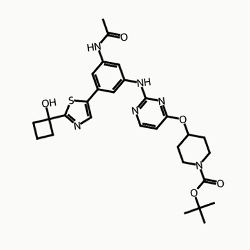 CC(=O)Nc1cc(Nc2nccc(OC3CCN(C(=O)OC(C)(C)C)CC3)n2)cc(-c2cnc(C3(O)CCC3)s2)c1